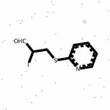 O=[C]C(I)CSc1ccccn1